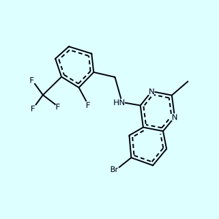 Cc1nc(NCc2cccc(C(F)(F)F)c2F)c2cc(Br)ccc2n1